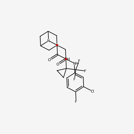 O=C(CN1CC2CC(C1)N2CC(=O)NC1(C(F)(F)F)CC1)Nc1ccc(F)c(Cl)c1